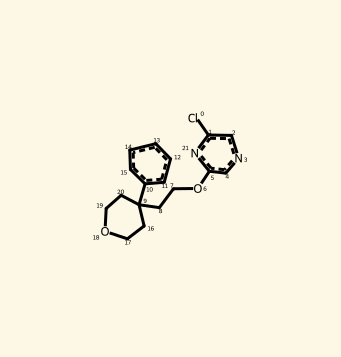 Clc1cncc(OCCC2(c3ccccc3)CCOCC2)n1